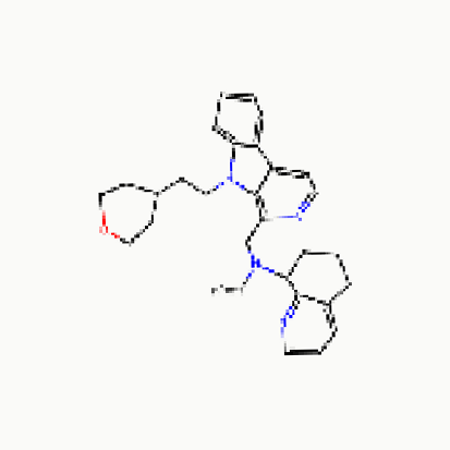 CCCCCN(Cc1nccc2c3ccccc3n(CCC3CCOCC3)c12)C1CCCc2cccnc21